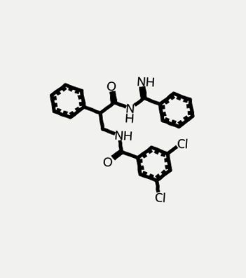 N=C(NC(=O)C(CNC(=O)c1cc(Cl)cc(Cl)c1)c1ccccc1)c1ccccc1